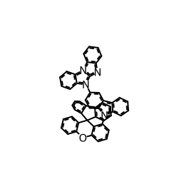 c1ccc2c(c1)Oc1cccc(-n3c4ccccc4c4cc(-n5c6ccccc6n6c7ccccc7nc56)ccc43)c1C21c2ccccc2-c2ccccc21